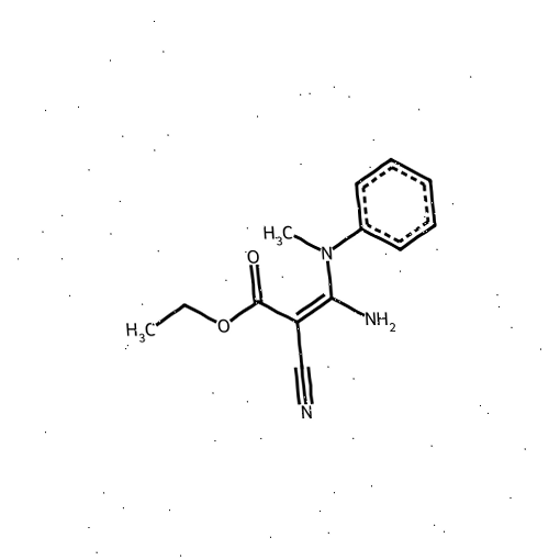 CCOC(=O)C(C#N)=C(N)N(C)c1ccccc1